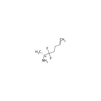 C=CCCC(F)(F)[C@@H](C)N